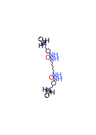 O=C(NCCCCCCCNC(=O)NC1CCC(CCN2[C@@H]3CC[C@H]2c2ccccc23)CC1)NC1CCC(CCN2[C@@H]3CC[C@H]2c2ccccc23)CC1